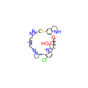 CN1C/C=N/N2CCC/C2=C\c2c(Cl)ccc3c(c(C(=O)O)n(C)c23)CCCOc2cc(cc3c2NCCC3)SCc2cc(nn2C)C1